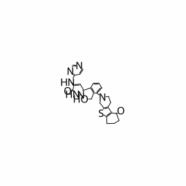 O=C1CCCc2sc3c(c21)CCN(c1cccc(-c2cc(Nc4ccncn4)c(=O)[nH]n2)c1CO)C3